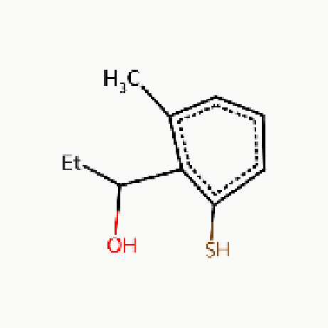 CCC(O)c1c(C)cccc1S